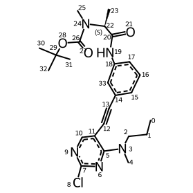 CCCN(C)c1nc(Cl)ncc1C#Cc1cccc(NC(=O)[C@H](C)N(C)C(=O)OC(C)(C)C)c1